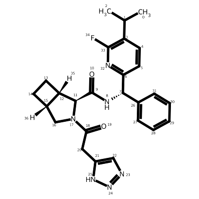 CC(C)c1ccc([C@@H](NC(=O)[C@@H]2[C@H]3CC[C@H]3CN2C(=O)Cc2cnn[nH]2)c2ccccc2)nc1F